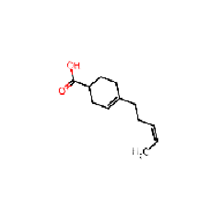 C/C=C\CCC1=CCC(C(=O)O)CC1